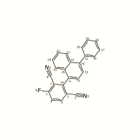 N#Cc1ccc(F)c(C#N)c1-c1ccc(-c2ccccc2)c2ccccc12